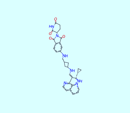 N=C(/C(=C\NC1CC(CNc2ccc3c(c2)C(=O)N(C2CCC(=O)NC2=O)C3=O)C1)c1nccc2cccnc12)C1CC1